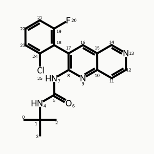 CC(C)(C)NC(=O)Nc1nc2ccncc2cc1-c1c(F)cccc1Cl